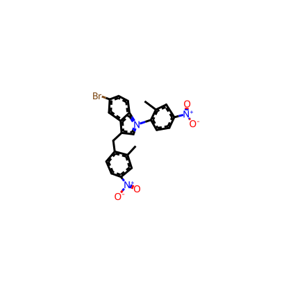 Cc1cc([N+](=O)[O-])ccc1Cc1cn(-c2ccc([N+](=O)[O-])cc2C)c2ccc(Br)cc12